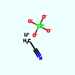 CC#N.[Li+].[O-][Cl+3]([O-])([O-])[O-]